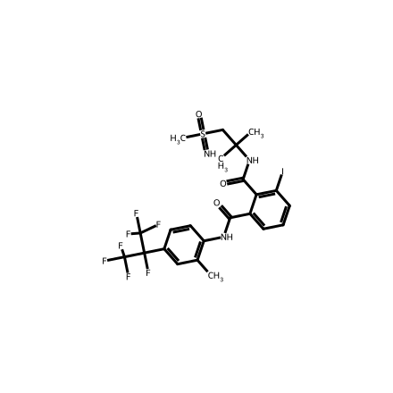 Cc1cc(C(F)(C(F)(F)F)C(F)(F)F)ccc1NC(=O)c1cccc(I)c1C(=O)NC(C)(C)CS(C)(=N)=O